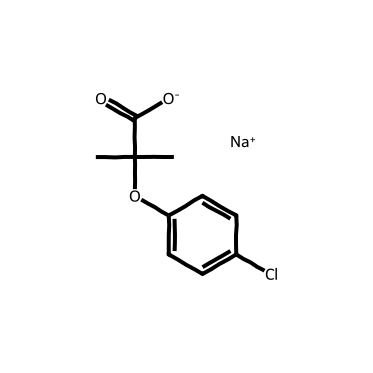 CC(C)(Oc1ccc(Cl)cc1)C(=O)[O-].[Na+]